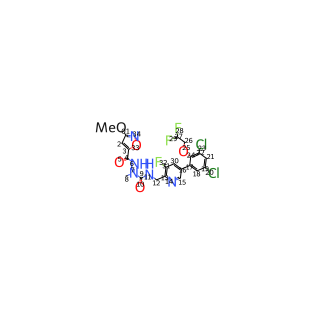 COc1cc(C(=O)NN(C)C(=O)NCc2ncc(-c3cc(Cl)cc(Cl)c3OCC(F)F)cc2F)on1